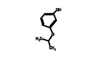 CC(C)Oc1[c]ccc(O)c1